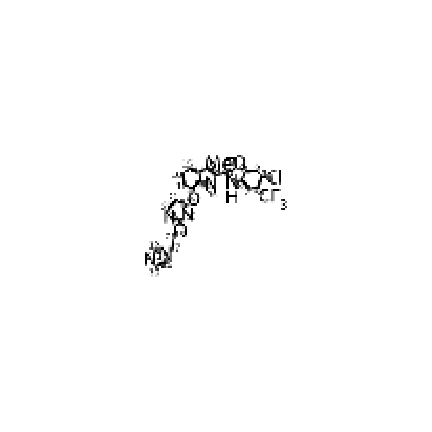 COc1cc(Cl)c(C(F)(F)F)cc1NC(=O)c1cc2cccc(Oc3ccnc(OCCn4ccnc4)n3)c2n1C